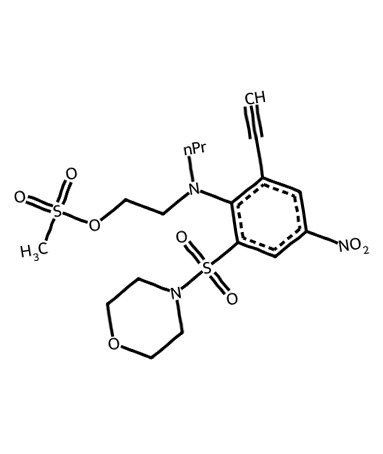 C#Cc1cc([N+](=O)[O-])cc(S(=O)(=O)N2CCOCC2)c1N(CCC)CCOS(C)(=O)=O